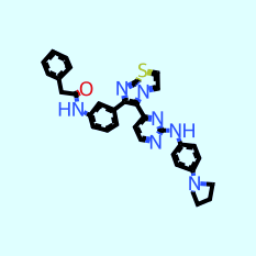 O=C(Cc1ccccc1)Nc1cccc(-c2nc3sccn3c2-c2ccnc(Nc3ccc(N4CCCC4)cc3)n2)c1